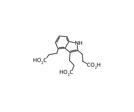 O=C(O)CCc1[nH]c2cccc(CCC(=O)O)c2c1CCC(=O)O